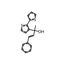 CC(O)(C=Cc1ccccc1)c1ccsc1-c1cccs1